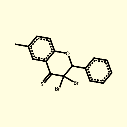 Cc1ccc2c(c1)C(=S)C(Br)(Br)C(c1ccccc1)O2